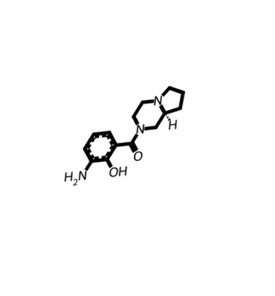 Nc1cccc(C(=O)N2CCN3CCC[C@H]3C2)c1O